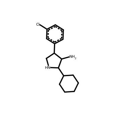 NC1C(c2cccc(Cl)c2)CNC1C1CCCCC1